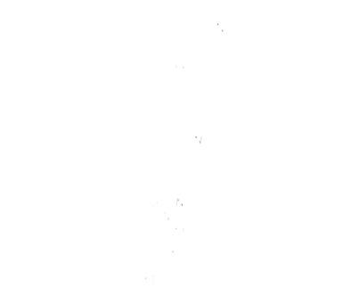 Cc1c(Cl)cccc1S(=O)(=O)N1CCCC(C(=O)NC2CCC(Oc3ccncc3)CC2)C1